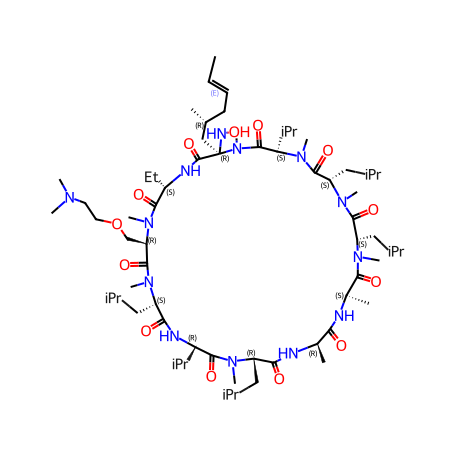 C/C=C/C[C@@H](C)C[C@@]1(NO)C(=O)N[C@@H](CC)C(=O)N(C)[C@H](COCCN(C)C)C(=O)N(C)[C@@H](CC(C)C)C(=O)N[C@H](C(C)C)C(=O)N(C)[C@H](CC(C)C)C(=O)N[C@H](C)C(=O)N[C@@H](C)C(=O)N(C)[C@@H](CC(C)C)C(=O)N(C)[C@@H](CC(C)C)C(=O)N(C)[C@@H](C(C)C)C(=O)N1C